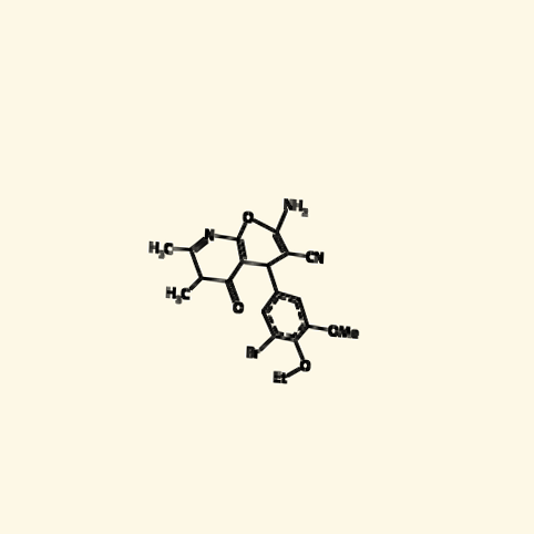 CCOc1c(Br)cc(C2C(C#N)=C(N)OC3=C2C(=O)C(C)C(C)=N3)cc1OC